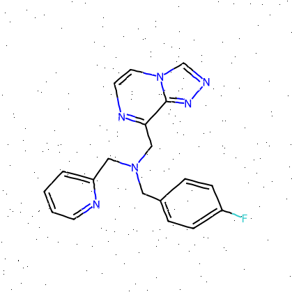 Fc1ccc(CN(Cc2ccccn2)Cc2nccn3cnnc23)cc1